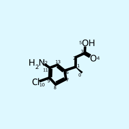 C[C@H](CC(=O)O)c1ccc(Cl)c(N)c1